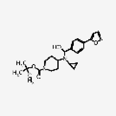 CC(C)(C)OC(=O)N1CCC(N(C2CC2)C(O)c2ccc(-c3ccno3)cc2)CC1